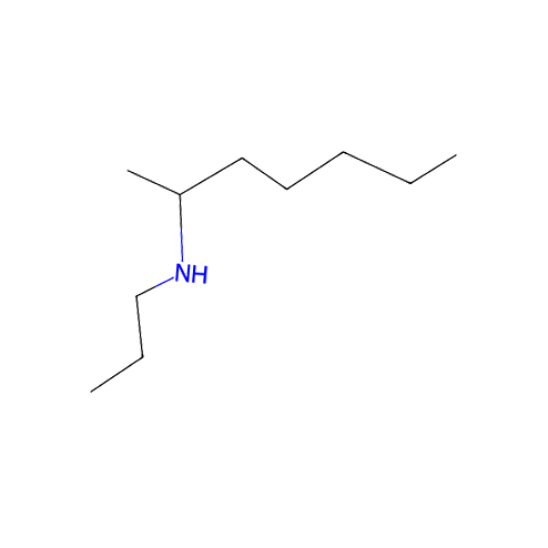 CCCCCC(C)NCCC